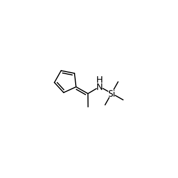 CC(N[Si](C)(C)C)=C1C=CC=C1